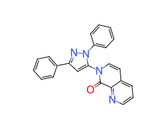 O=c1c2ncccc2ccn1-c1cc(-c2ccccc2)nn1-c1ccccc1